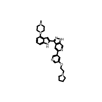 CN1CCN(c2cccc3[nH]c(-c4n[nH]c5cnc(-c6cncc(OCCN7CCCC7)c6)cc45)cc23)CC1